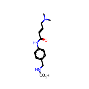 CN(C)C/C=C/C(=O)Nc1ccc(CNC(=O)O)cc1